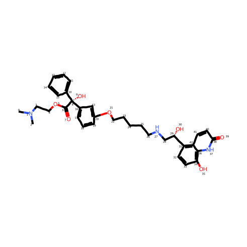 CN(C)CCOC(=O)[C@@](O)(c1ccccc1)c1cccc(OCCCCCNC[C@H](O)c2ccc(O)c3[nH]c(=O)ccc23)c1